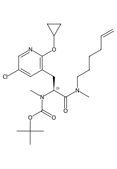 C=CCCCCN(C)C(=O)[C@H](Cc1cc(Cl)cnc1OC1CC1)N(C)C(=O)OC(C)(C)C